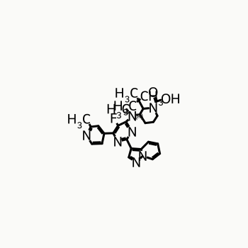 Cc1cc(-c2nc(-c3cnn4ccccc34)nc(N(C)[C@@H]3CCCN(C(=O)O)C3C(C)(C)C)c2F)ccn1